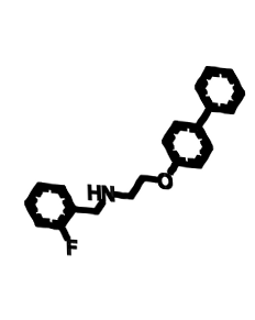 Fc1ccccc1CNCCOc1ccc(-c2ccccc2)cc1